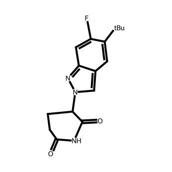 CC(C)(C)c1cc2cn(C3CCC(=O)NC3=O)nc2cc1F